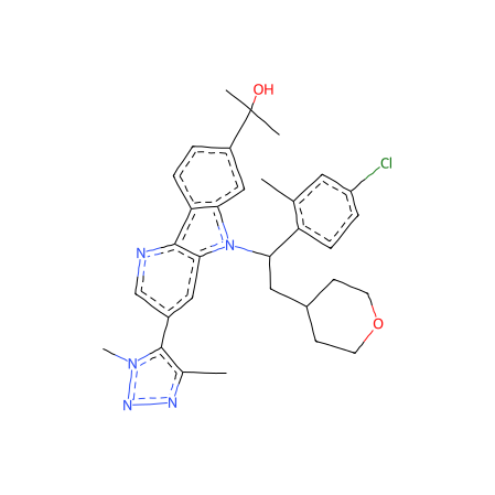 Cc1cc(Cl)ccc1C(CC1CCOCC1)n1c2cc(C(C)(C)O)ccc2c2ncc(-c3c(C)nnn3C)cc21